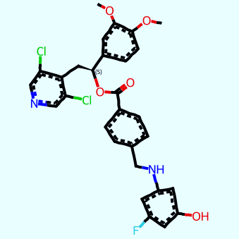 COc1ccc([C@H](Cc2c(Cl)cncc2Cl)OC(=O)c2ccc(CNc3cc(O)cc(F)c3)cc2)cc1OC